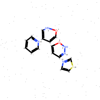 C1=CNOC=C1.C1=CONN=C1.c1ccncc1.c1cscn1